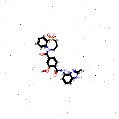 COc1cc(C(=O)N2CCCS(=O)(=O)c3ccccc32)ccc1C(=O)Nc1cccc2[nH]c(C)nc12